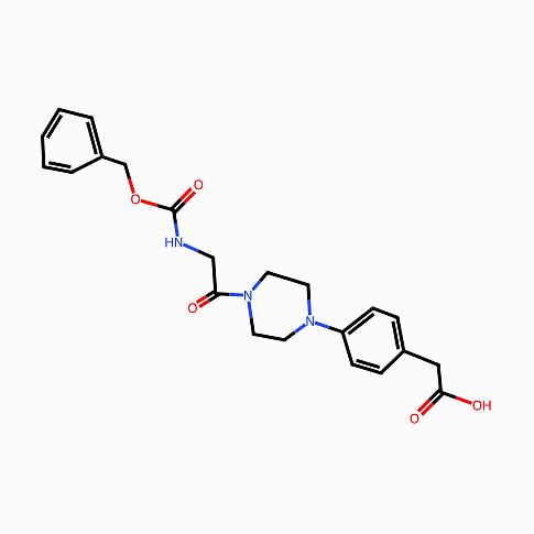 O=C(O)Cc1ccc(N2CCN(C(=O)CNC(=O)OCc3ccccc3)CC2)cc1